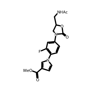 COC(=O)c1ccn(-c2ccc(N3CC(CNC(C)=O)OC3=O)cc2F)c1